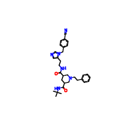 CC(C)(C)NC(=O)C1CC(C(=O)NCCc2cncn2Cc2ccc(C#N)cc2)CN(CCc2ccccc2)C1